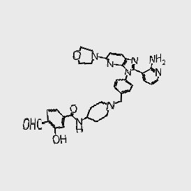 Nc1ncccc1-c1nc2ccc(N3CCOCC3)nc2n1-c1ccc(CN2CCC(NC(=O)c3ccc(C=O)c(O)c3)CC2)cc1